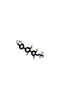 CCc1ccc(-c2cc(F)c(-c3cc(F)c(/C=C/C(F)(F)F)c(F)c3)c(F)c2)cc1